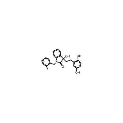 Cc1ccccc1CN1C(=O)C(O)(CCc2cc(O)ccc2O)c2ccccc21